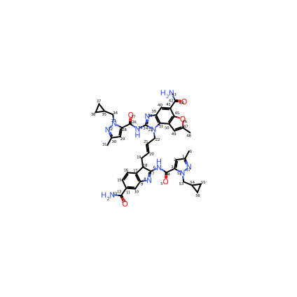 Cc1cc(C(=O)NC2=Nc3cc(C(N)=O)ccc3C2C/C=C/Cn2c(NC(=O)c3cc(C)nn3CC3CC3)nc3cc(C(N)=O)c4oc(C)cc4c32)n(CC2CC2)n1